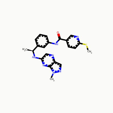 CSc1ccc(C(=O)Nc2cccc([C@H](C)Nc3cnc4cnn(C)c4n3)c2)cn1